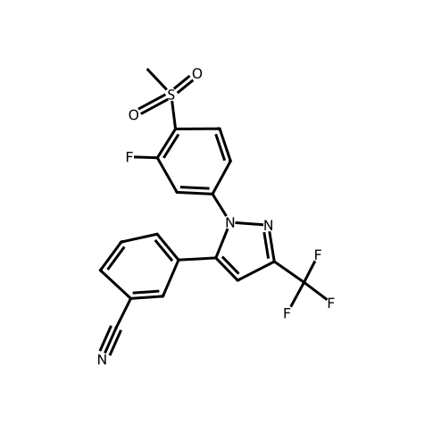 CS(=O)(=O)c1ccc(-n2nc(C(F)(F)F)cc2-c2cccc(C#N)c2)cc1F